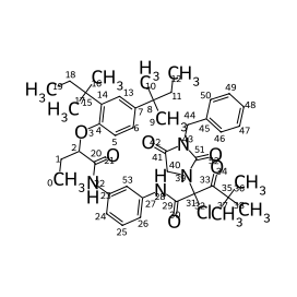 CCC(Oc1ccc(C(C)(C)CC)cc1C(C)(C)CC)C(=O)Nc1cccc(NC(=O)C(Cl)(C(=O)C(C)(C)C)N2CC(=O)N(Cc3ccccc3)C2=O)c1